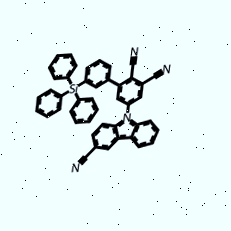 N#Cc1ccc2c(c1)c1ccccc1n2-c1cc(C#N)c(C#N)c(-c2cccc([Si](c3ccccc3)(c3ccccc3)c3ccccc3)c2)c1